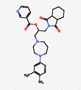 Cc1ccc(N2CCCN(CC(CN3C(=O)C4CCCCC4C3=O)OC(=O)c3cccnc3)CC2)cc1C